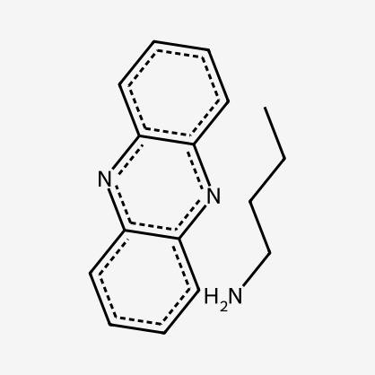 CCCCN.c1ccc2nc3ccccc3nc2c1